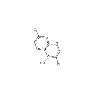 Oc1c(Cl)cnc2cc(Cl)ccc12